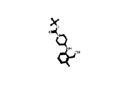 Cc1cccc(NC2CCN(C(=O)OC(C)(C)C)CC2)c1CO